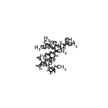 CCn1nccc1C(=O)N[C@H](C(=O)Nc1ccc([C@H](C)[C@@H](NC(=O)[C@H](C)OC)C(=O)N2CC[C@H](N(C)C)C2)cc1F)C(C1CC1)C1CC1